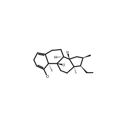 CC[C@@H]1[C@H](C)C[C@H]2[C@@H]3CCC4=CCC=C(Cl)[C@]4(C)[C@@]3(Cl)CC[C@]12C